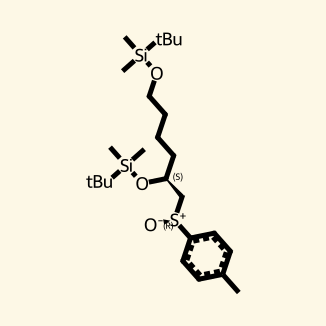 Cc1ccc([S@@+]([O-])C[C@H](CCCCO[Si](C)(C)C(C)(C)C)O[Si](C)(C)C(C)(C)C)cc1